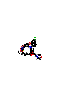 C[C@@]12C[C@H]1C/C=C/[C@@](O)(C#CCCN1CCOCC1)[C@@H]1CC[C@H]1CN1C[C@@]3(CCCc4cc(Cl)ccc43)COc3ccc(cc31)C(=O)NS2(=O)=O